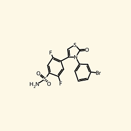 NS(=O)(=O)c1cc(F)c(-c2csc(=O)n2-c2cccc(Br)c2)cc1F